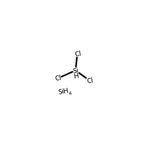 Cl[SiH](Cl)Cl.[SiH4]